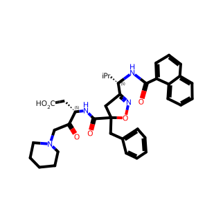 CC(C)[C@H](NC(=O)c1cccc2ccccc12)C1=NOC(Cc2ccccc2)(C(=O)N[C@@H](CC(=O)O)C(=O)CN2CCCCC2)C1